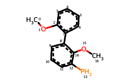 COc1ccccc1-c1cccc(P)c1OC